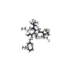 C=C/C(OC[C@@H]1CNCCS1)=c1\c(=C(/N)C(C)(C)O)nc(-c2nonc2N)n1CC